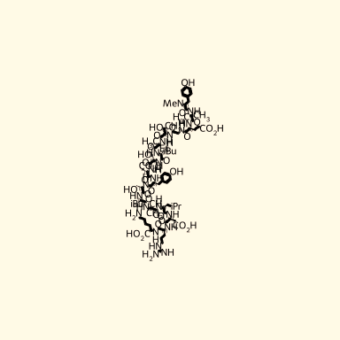 CC[C@H](C)[C@H](NC(=O)[C@H](CO)NC(=O)[C@H](Cc1ccc(O)cc1)NC(=O)[C@H](CC(=O)O)NC(=O)[C@H](CO)NC(=O)[C@@H](NC(=O)[C@](C)(CC)NC(=O)[C@@H](NC(=O)CNC(=O)[C@H](CCC(=O)O)NC(=O)C(C)(C)NC(=O)[C@H](Cc1ccc(O)cc1)NC)[C@@H](C)O)[C@@H](C)CC)C(=O)NC(C)(C)C(=O)N[C@@H](CC(C)C)C(=O)N[C@@H](CC(=O)O)C(=O)N[C@@H](CCCNC(=N)N)C(=O)N[C@@H](CCCCN)C(=O)O